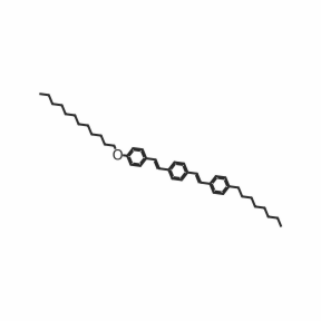 CCCCCCCCCCCCOc1ccc(C=Cc2ccc(C=Cc3ccc(CCCCCCCC)cc3)cc2)cc1